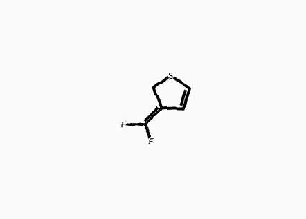 FC(F)=C1[C]=CSC1